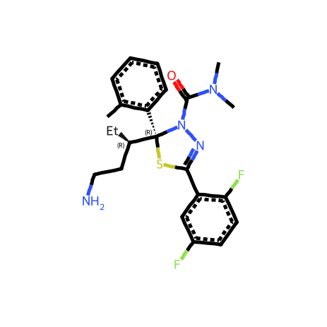 CC[C@H](CCN)[C@]1(c2ccccc2C)SC(c2cc(F)ccc2F)=NN1C(=O)N(C)C